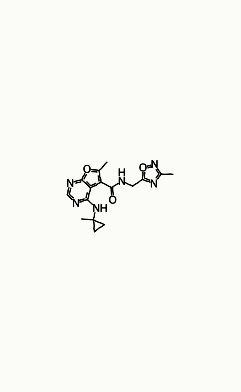 Cc1noc(CNC(=O)c2c(C)oc3ncnc(NC4(C)CC4)c23)n1